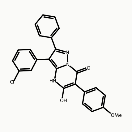 COc1ccc(-c2c(O)[nH]c3c(-c4cccc(Cl)c4)c(-c4ccccc4)nn3c2=O)cc1